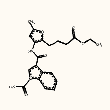 CCOC(=O)CCCc1oc(C)cc1NC(=O)c1cn(C(C)=O)c2ccccc12